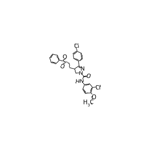 COc1ccc(NC(=O)N2CC(CCS(=O)(=O)c3ccccc3)C(c3ccc(Cl)cc3)=N2)cc1Cl